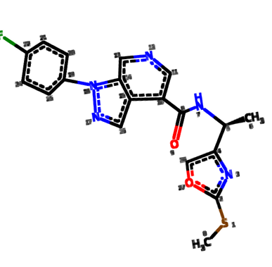 CSc1nc([C@H](C)NC(=O)c2cncc3c2cnn3-c2ccc(F)cc2)co1